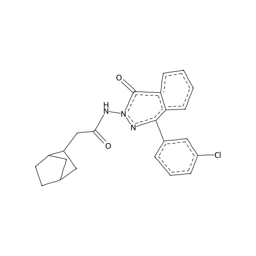 O=C(CC1CC2CCC1C2)Nn1nc(-c2cccc(Cl)c2)c2ccccc2c1=O